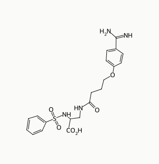 N=C(N)c1ccc(OCCCC(=O)NCC(NS(=O)(=O)c2ccccc2)C(=O)O)cc1